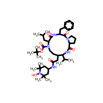 CC(C)CC1C(=O)NC(Cc2ccccc2)C(=O)N2CCCC2C(=O)NC(C(C)C)C(CC(=O)NC2CC(C)(C)N(O)C(C)(C)C2)CCN1C(=O)OC(C)(C)C